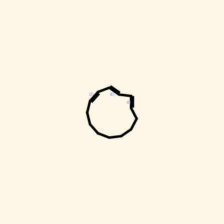 C1=C\CCCCCCC/C=C/C=C/1